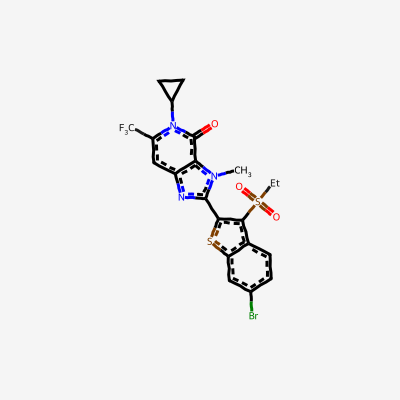 CCS(=O)(=O)c1c(-c2nc3cc(C(F)(F)F)n(C4CC4)c(=O)c3n2C)sc2cc(Br)ccc12